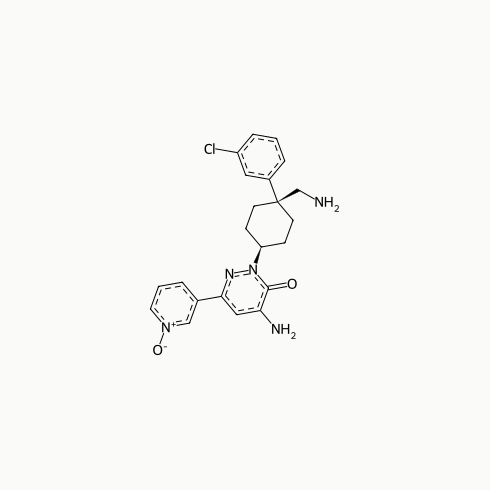 NC[C@]1(c2cccc(Cl)c2)CC[C@H](n2nc(-c3ccc[n+]([O-])c3)cc(N)c2=O)CC1